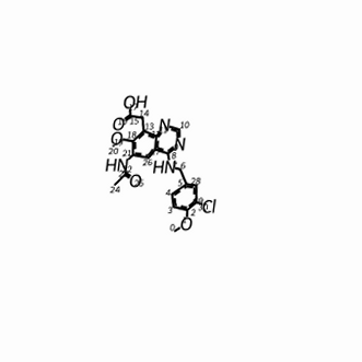 COc1ccc(CNc2ncnc3c(CC(=O)O)c(OC)c(NC(C)=O)cc23)cc1Cl